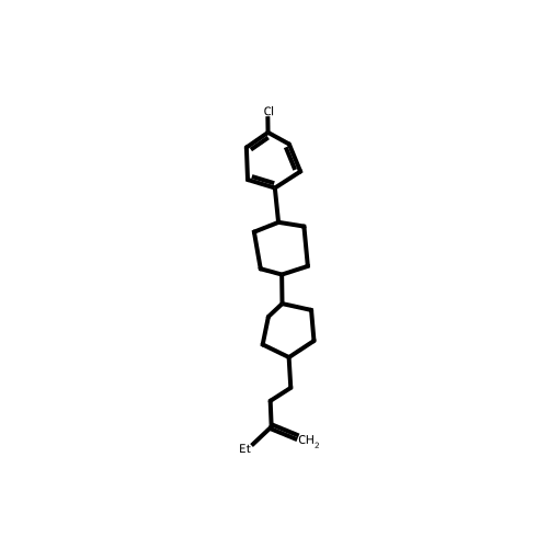 C=C(CC)CCC1CCC(C2CCC(c3ccc(Cl)cc3)CC2)CC1